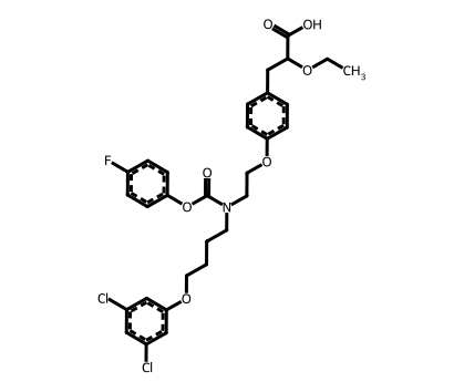 CCOC(Cc1ccc(OCCN(CCCCOc2cc(Cl)cc(Cl)c2)C(=O)Oc2ccc(F)cc2)cc1)C(=O)O